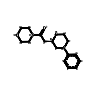 O=C(C[C@@H]1CN(c2ccccc2)CC[N]1)N1CCOCC1